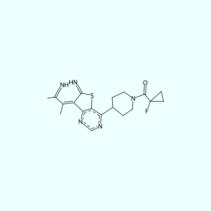 CC(=N)/C(C)=C1\C(=N)Sc2c1ncnc2C1CCN(C(=O)C2(F)CC2)CC1